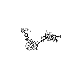 COc1cc(OCCOCC(=O)NC(C(=O)N2CCC[C@H]2C(=O)NCc2ccc(-c3scnc3C)cc2)C(C)(C)C)ncc1N(C=S)C(C)(C)C(=O)N(C)c1ccc(C#N)c(C(F)(F)F)c1F